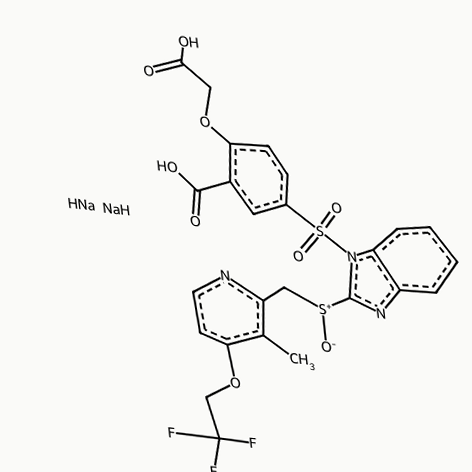 Cc1c(OCC(F)(F)F)ccnc1C[S+]([O-])c1nc2ccccc2n1S(=O)(=O)c1ccc(OCC(=O)O)c(C(=O)O)c1.[NaH].[NaH]